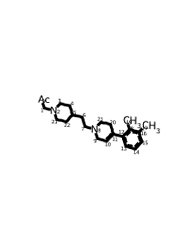 CC(=O)CN1CCC(CCN2CC=C(c3cccc(C)c3C)CC2)CC1